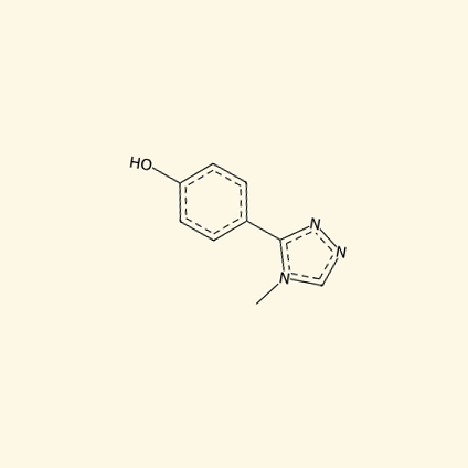 Cn1cnnc1-c1ccc(O)cc1